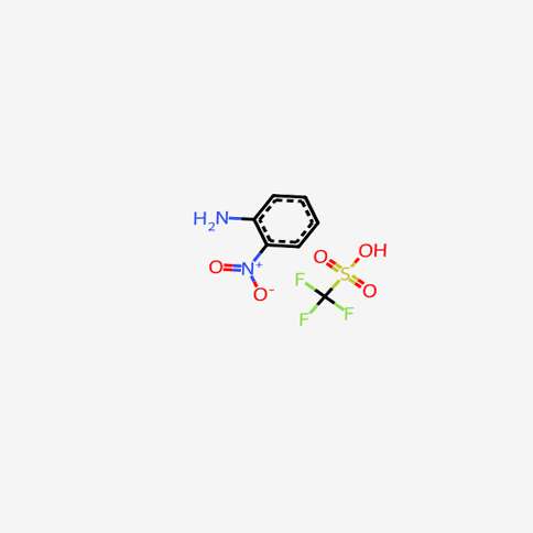 Nc1ccccc1[N+](=O)[O-].O=S(=O)(O)C(F)(F)F